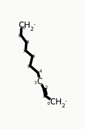 [CH2]/C=C/CCCCCCC[CH2]